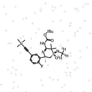 [2H]C([2H])([2H])N=[S@@]1(=O)C[C@@](C)(c2cc(C#C[Si](C)(C)C)ccc2F)N=C(NC(=O)OC(C)(C)C)C1(C)C